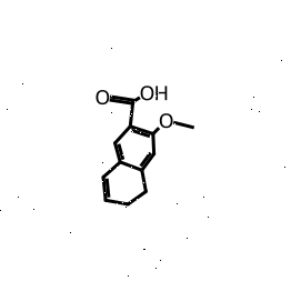 COc1cc2c(cc1C(=O)O)C=CCC2